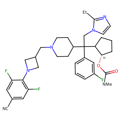 CCc1nccn1CC(c1cccc(F)c1)(C1CCN(CC2CN(c3c(F)cc(C#N)cc3F)C2)CC1)C1CCC[C@@H]1OC(=O)NC